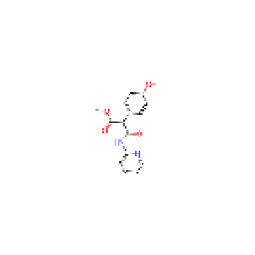 COC(=O)C(C(=O)Nc1ccccn1)c1ccc(OC)cc1